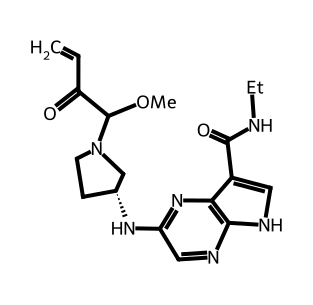 C=CC(=O)C(OC)N1CC[C@@H](Nc2cnc3[nH]cc(C(=O)NCC)c3n2)C1